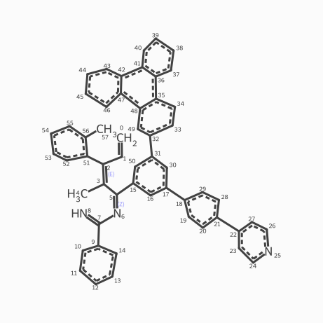 C=C/C(=C(C)\C(=N/C(=N)c1ccccc1)c1cc(-c2ccc(-c3ccncc3)cc2)cc(-c2ccc3c4ccccc4c4ccccc4c3c2)c1)c1ccccc1C